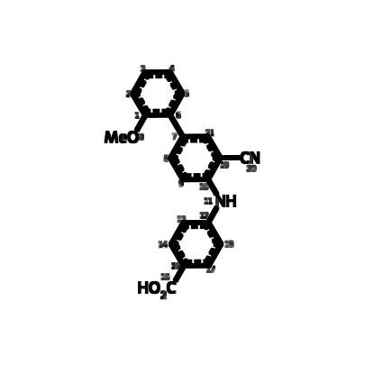 COc1ccccc1-c1ccc(Nc2ccc(C(=O)O)cc2)c(C#N)c1